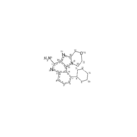 Nc1nc2cccc(C3CCCCC3)c2c2c1nc1n2CCOC1